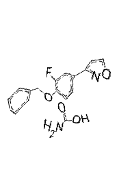 Fc1cc(-c2ccon2)ccc1OCc1ccccc1.NC(=O)O